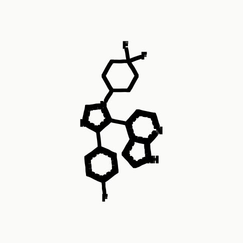 Fc1ccc(-c2ncn(C3CCC(F)(F)CC3)c2-c2ccnc3[nH]ccc23)cc1